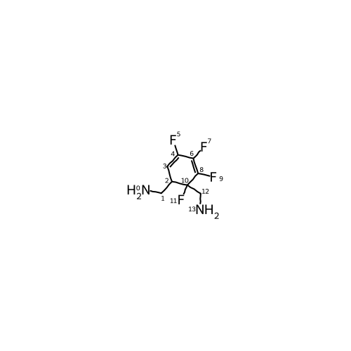 NCC1C=C(F)C(F)=C(F)C1(F)CN